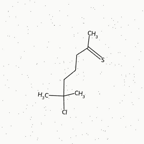 CC(=S)CCCC(C)(C)Cl